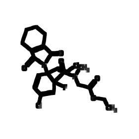 CCOC(=O)CN(C)C(=O)C1(F)C=C(Cl)C=CC1(C=CCl)N1C(=O)C2=C(CCCC2)C1=O